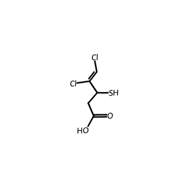 O=C(O)CC(S)C(Cl)=CCl